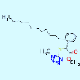 CCCCCCCCCCCCc1ccccc1C(Sc1nnnn1C)C(=O)OC